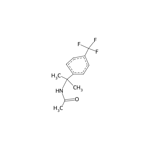 CC(=O)NC(C)(C)c1ccc(C(F)(F)F)cc1